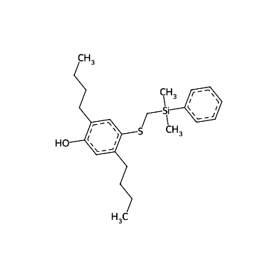 CCCCc1cc(SC[Si](C)(C)c2ccccc2)c(CCCC)cc1O